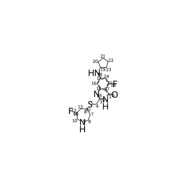 O=c1[nH]c(CS[C@H]2CCNC[C@H](F)C2)nc2cc(NC3CCCC3)cc(F)c12